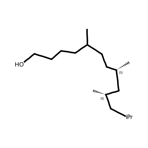 CC(C)C[C@H](C)C[C@@H](C)CCC(C)CCCCO